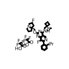 CC(C)c1ccccc1-c1ncc2c(NCC3(N(C)C)CCC3)nc(OC[C@@]34CCCN3C[C@H](F)C4)nc2c1F.O=C(O)C(F)(F)F.O=C(O)C(F)(F)F